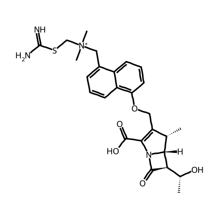 C[C@@H](O)[C@H]1C(=O)N2C(C(=O)O)=C(COc3cccc4c(C[N+](C)(C)CSC(=N)N)cccc34)[C@H](C)[C@H]12